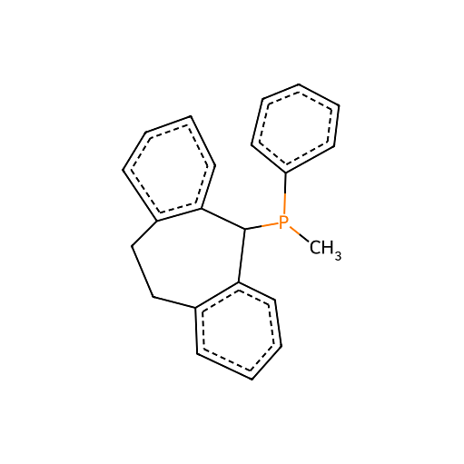 CP(c1ccccc1)C1c2ccccc2CCc2ccccc21